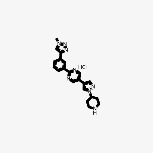 Cl.Cn1cc(-c2cccc(-c3ncc(-c4cnn(C5CCNCC5)c4)cn3)c2)nn1